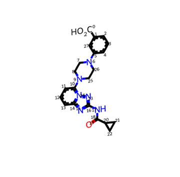 O=C(O)c1cccc(N2CCN(c3cccc4nc(NC(=O)C5CC5)nn34)CC2)c1